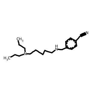 CCCN(CCC)CCCCCNCc1ccc(C#N)cc1